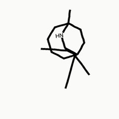 CC1CC(C)C2NC3(C)CCCCC2(CC3)C1C